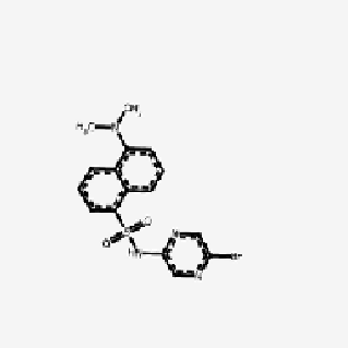 CN(C)c1cccc2c(S(=O)(=O)Nc3cnc(Br)cn3)cccc12